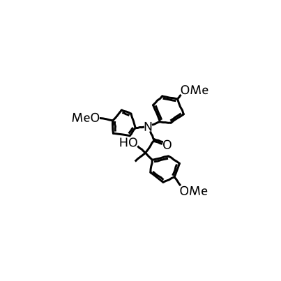 COc1ccc(N(C(=O)C(C)(O)c2ccc(OC)cc2)c2ccc(OC)cc2)cc1